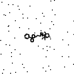 CN(CCCOC(=O)c1ccccc1)C1C2(C)CCC(C2)C1(C)C